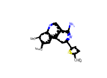 COc1cc2ncc3c(N)nc(-c4ccc(C=O)s4)cc3c2cc1OC